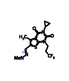 CN/N=C/c1sc2c(c1C)c(=O)n(C1CC1)c(=O)n2CCC(F)(F)F